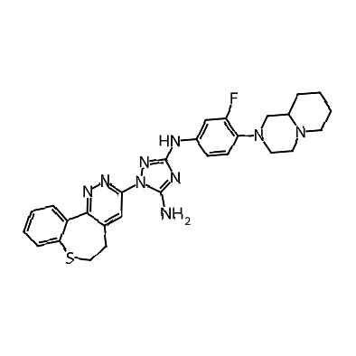 Nc1nc(Nc2ccc(N3CCN4CCCCC4C3)c(F)c2)nn1-c1cc2c(nn1)-c1ccccc1SCC2